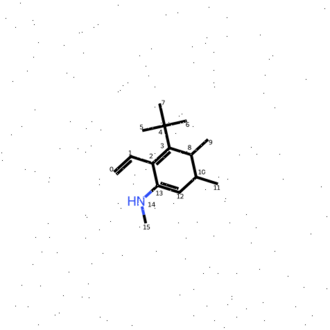 C=CC1=C(C(C)(C)C)C(C)C(C)C=C1NC